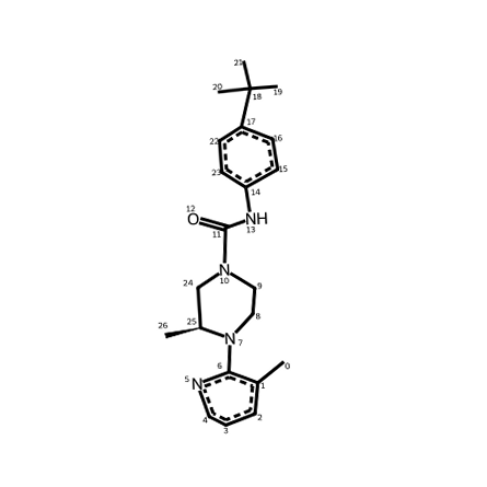 Cc1cccnc1N1CCN(C(=O)Nc2ccc(C(C)(C)C)cc2)C[C@@H]1C